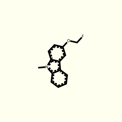 Cn1c2ccccc2c2cc(OCF)ccc21